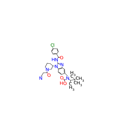 CC(N(Cc1ccc2c(c1)nc(NC(=O)c1ccc(Cl)cc1)n2C1CCCN(C(=O)CC#N)C1)C(=O)O)C(C)(C)C